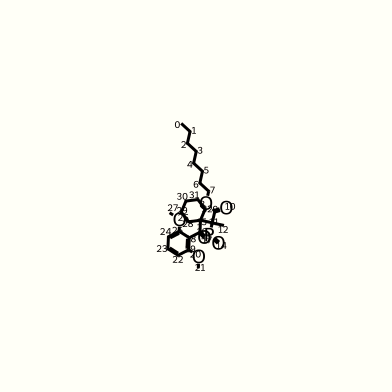 CCCCCCCCOC(=O)C(C)(P=O)C1(C(=O)c2c(OC)cccc2OC)CCCCC1